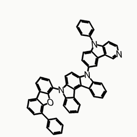 c1ccc(-c2cccc3c2oc2c(-n4c5ccccc5c5c6c7ccccc7n(-c7ccc8c(c7)c7cnccc7n8-c7ccccc7)c6ccc54)cccc23)cc1